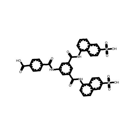 O=C(O)c1ccc(C(=O)Nc2cc(C(=O)Nc3cccc4cc(S(=O)(=O)O)ccc34)cc(C(=O)Nc3cccc4cc(S(=O)(=O)O)ccc34)c2)cc1